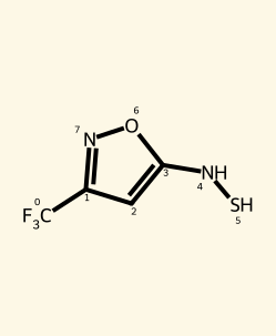 FC(F)(F)c1cc(NS)on1